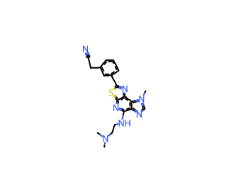 CN(C)CCNc1nc2sc(-c3cccc(CC#N)c3)nc2c2c1ncn2C